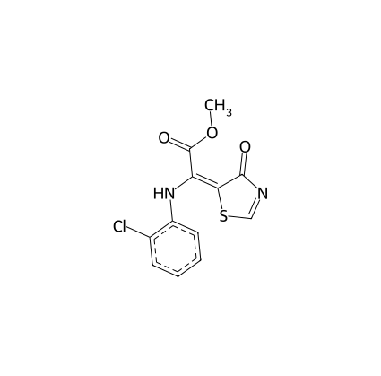 COC(=O)C(Nc1ccccc1Cl)=C1SC=NC1=O